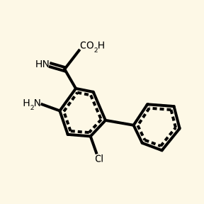 N=C(C(=O)O)c1cc(-c2ccccc2)c(Cl)cc1N